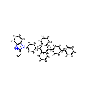 CCc1nc2c(n1C1=CCC(c3c4c(c(-c5ccc(-c6ccccc6)cc5)c5ccccc35)C=CCC4)C=C1)C=CCC2